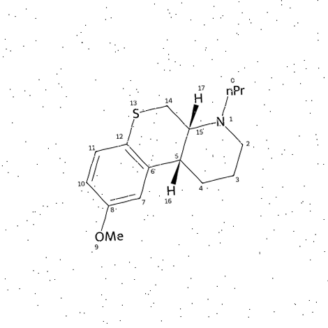 CCCN1CCC[C@@H]2c3cc(OC)ccc3SC[C@@H]21